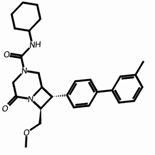 COC[C@@H]1[C@@H](c2ccc(-c3cccc(C)c3)cc2)C2CN(C(=O)NC3CCCCC3)CC(=O)N21